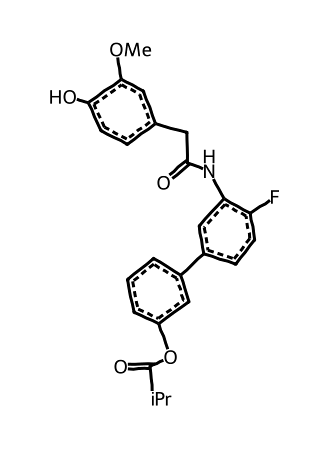 COc1cc(CC(=O)Nc2cc(-c3cccc(OC(=O)C(C)C)c3)ccc2F)ccc1O